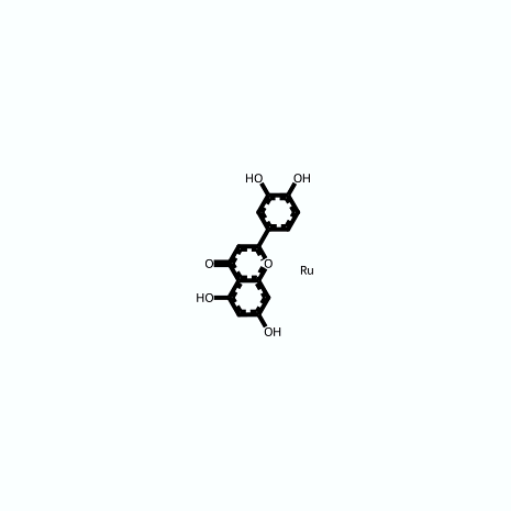 O=c1cc(-c2ccc(O)c(O)c2)oc2cc(O)cc(O)c12.[Ru]